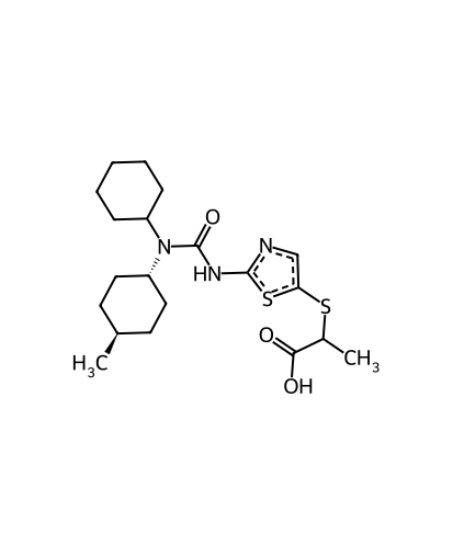 CC(Sc1cnc(NC(=O)N(C2CCCCC2)[C@H]2CC[C@H](C)CC2)s1)C(=O)O